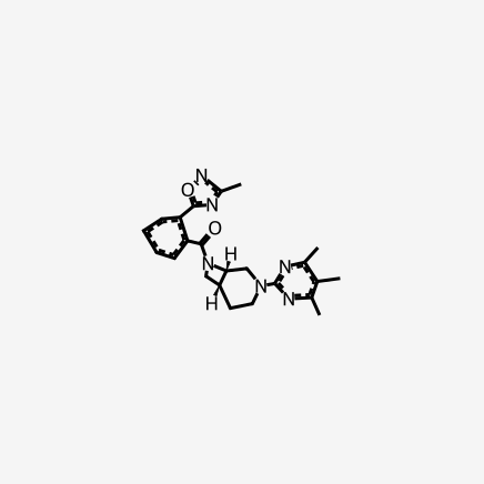 Cc1noc(-c2ccccc2C(=O)N2C[C@H]3CCN(c4nc(C)c(C)c(C)n4)C[C@H]32)n1